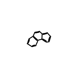 [c]1cccc2ccc3ccccc3c12